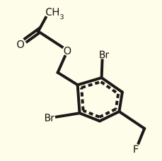 CC(=O)OCc1c(Br)cc(CF)cc1Br